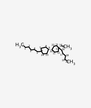 CCCCCCC1CCC([C@H]2CC[C@](CC)(CCCCC)CC2)CC1